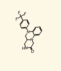 O=C1CN2c3ccccc3N(c3ccc(C(F)(F)F)cc3)CC2CN1